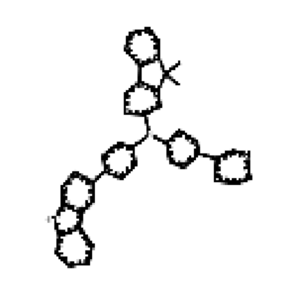 CC1(C)c2ccccc2-c2ccc(N(c3ccc(-c4cccnc4)cc3)c3ccc(-c4ccc5[nH]c6ccccc6c5c4)cc3)cc21